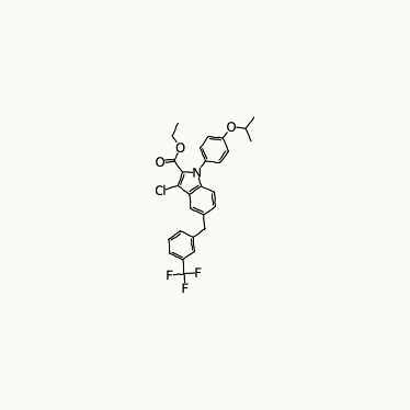 CCOC(=O)c1c(Cl)c2cc(Cc3cccc(C(F)(F)F)c3)ccc2n1-c1ccc(OC(C)C)cc1